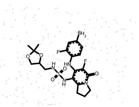 Bc1ccc(Nc2c(NS(=O)(=O)NCC3COC(C)(C)O3)c3n(c(=O)c2F)CCC3)c(F)c1